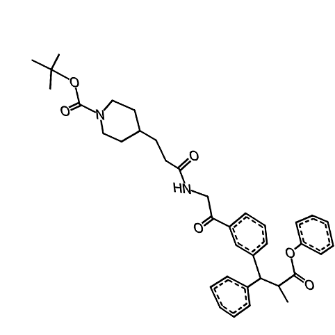 CC(C(=O)Oc1ccccc1)C(c1ccccc1)c1cccc(C(=O)CNC(=O)CCC2CCN(C(=O)OC(C)(C)C)CC2)c1